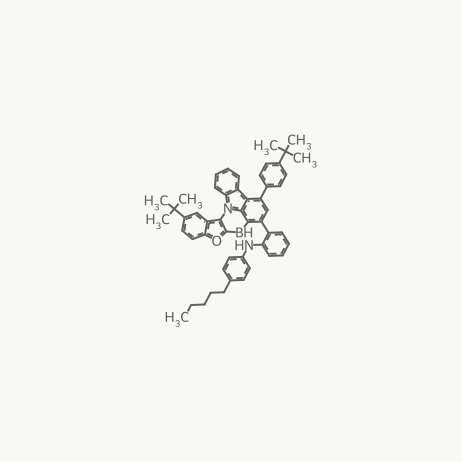 CCCCCc1ccc(Nc2ccccc2-c2cc(-c3ccc(C(C)(C)C)cc3)c3c4ccccc4n4c3c2Bc2oc3ccc(C(C)(C)C)cc3c2-4)cc1